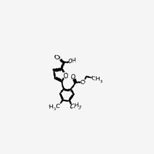 CCOC(=O)c1cc(C)c(C)cc1-c1ccc(C(=O)O)o1